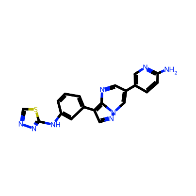 Nc1ccc(-c2cnc3c(-c4cccc(Nc5nncs5)c4)cnn3c2)cn1